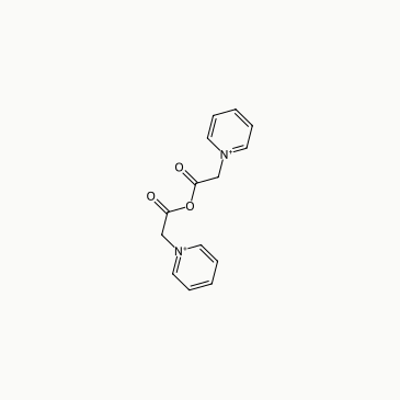 O=C(C[n+]1ccccc1)OC(=O)C[n+]1ccccc1